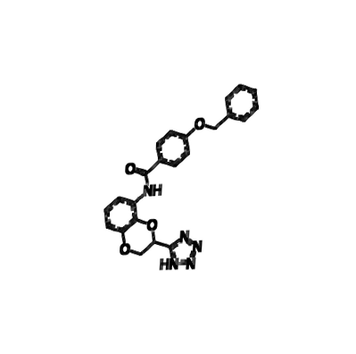 O=C(Nc1cccc2c1OC(c1nnn[nH]1)CO2)c1ccc(OCc2ccccc2)cc1